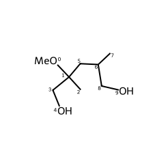 COC(C)(CO)CC(C)CO